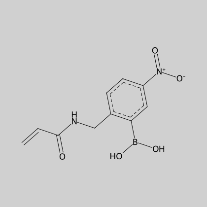 C=CC(=O)NCc1ccc([N+](=O)[O-])cc1B(O)O